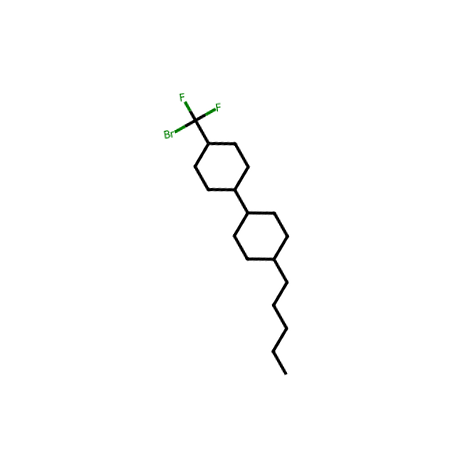 CCCCCC1CCC(C2CCC(C(F)(F)Br)CC2)CC1